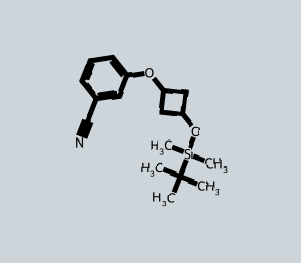 CC(C)(C)[Si](C)(C)OC1CC(Oc2cccc(C#N)c2)C1